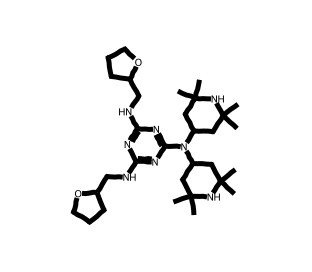 CC1(C)CC(N(c2nc(NCC3CCCO3)nc(NCC3CCCO3)n2)C2CC(C)(C)NC(C)(C)C2)CC(C)(C)N1